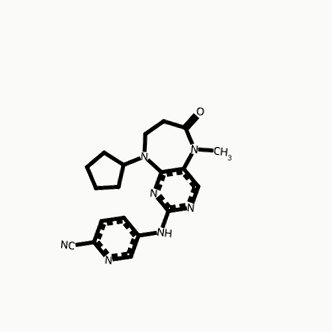 CN1C(=O)CCN(C2CCCC2)c2nc(Nc3ccc(C#N)nc3)ncc21